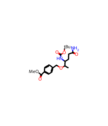 COC(=O)c1ccc(COC(C)C(CCC(N)=O)NC(=O)OC(C)(C)C)cc1